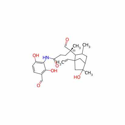 C=CC12CC(CC(C)C1[C@@](C)(C=O)CCC(=O)Nc1c(O)ccc(C=O)c1O)C(C)(O)C2